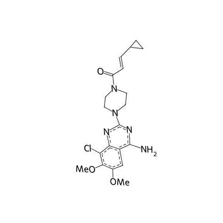 COc1cc2c(N)nc(N3CCN(C(=O)C=CC4CC4)CC3)nc2c(Cl)c1OC